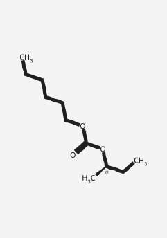 C[CH][C@@H](C)OC(=O)OCCCCCC